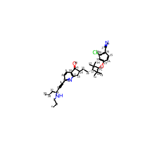 CCCNC(C#Cc1ccc2c(n1)CC(CC[C@H]1C(C)(C)[C@H](Oc3ccc(C#N)c(Cl)c3)C1(C)C)C2=O)CCC